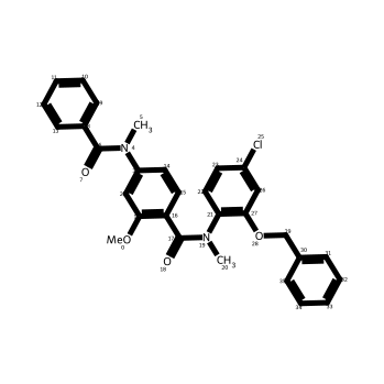 COc1cc(N(C)C(=O)c2ccccc2)ccc1C(=O)N(C)c1ccc(Cl)cc1OCc1ccccc1